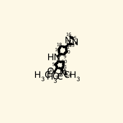 COC(=O)c1cc(Nc2ccc(-c3cnccn3)cc2)ccc1N(C)C